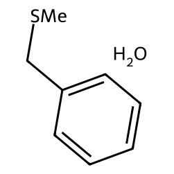 CSCc1ccccc1.O